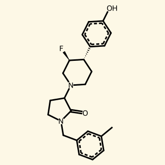 Cc1cccc(CN2CCC(N3CC[C@@H](c4ccc(O)cc4)[C@H](F)C3)C2=O)c1